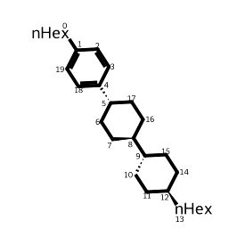 CCCCCCc1ccc([C@H]2CC[C@H]([C@H]3CC[C@H](CCCCCC)CC3)CC2)cc1